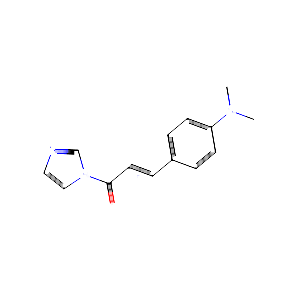 CN(C)c1ccc(/C=C/C(=O)n2ccnc2)cc1